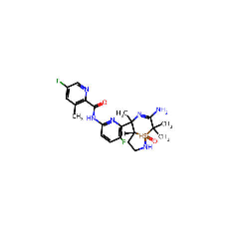 Cc1cc(F)cnc1C(=O)Nc1ccc(F)c(C2(C)N=C(N)C(C)(C)[SH]3(=O)NCC[C@H]23)n1